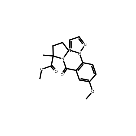 COC(=O)C1(C)CCCN1C(=O)c1cc(OC)ccc1-n1nccn1